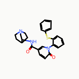 O=C(NC1CN2CCC1CC2)c1ccc(=O)n(-c2ccccc2Sc2ccccc2)c1